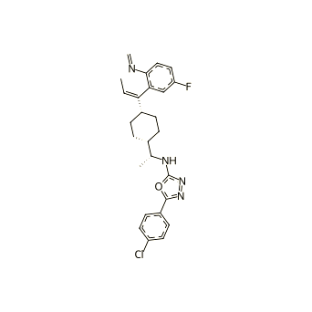 C=Nc1ccc(F)cc1/C(=C\C)[C@H]1CC[C@@H]([C@@H](C)Nc2nnc(-c3ccc(Cl)cc3)o2)CC1